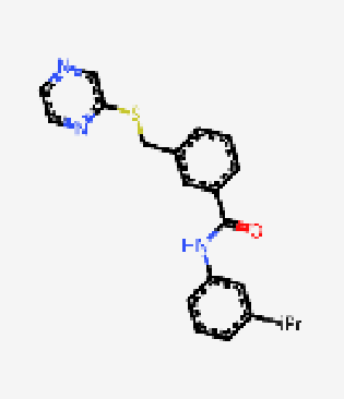 CC(C)c1cccc(NC(=O)c2cccc(CSc3cnccn3)c2)c1